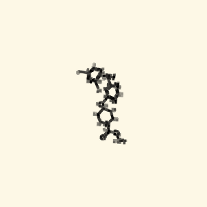 Cc1ccc(Nc2cc(OC3CCN(C(=O)OC(C)C)CC3)ncn2)c(C)n1